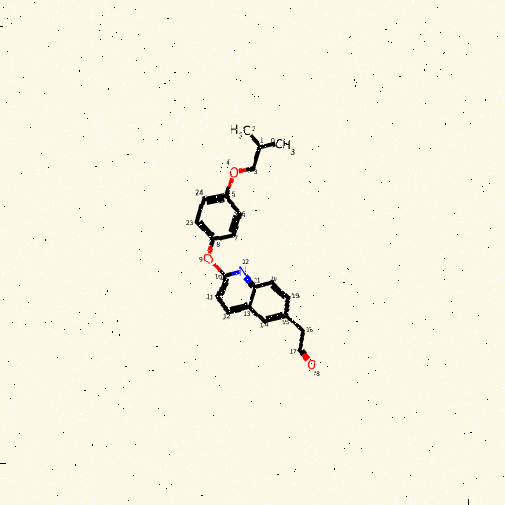 CC(C)COc1ccc(Oc2ccc3cc(CC=O)ccc3n2)cc1